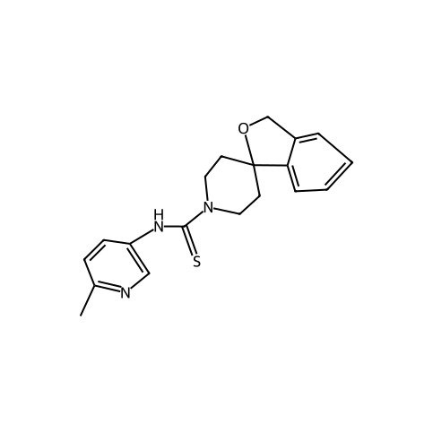 Cc1ccc(NC(=S)N2CCC3(CC2)OCc2ccccc23)cn1